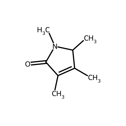 CC1=C(C)C(C)N(C)C1=O